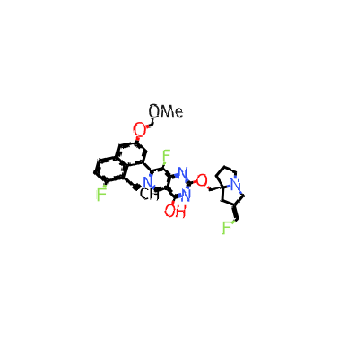 C#Cc1c(F)ccc2cc(OCOC)cc(-c3ncc4c(O)nc(OC[C@@]56CCCN5C/C(=C/F)C6)nc4c3F)c12